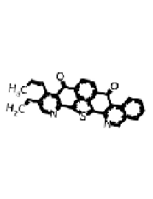 C=Cc1cnc2c(c1/C=C\C)C(=O)c1ccc3c4c(sc-2c14)-c1ncc2ccccc2c1C3=O